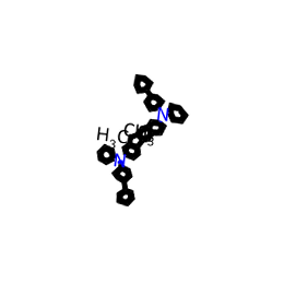 CC1(C)c2cc(N(c3ccccc3)c3ccc(-c4ccccc4)cc3)ccc2-c2cc3ccc(N(c4ccccc4)c4ccc(-c5ccccc5)cc4)cc3cc21